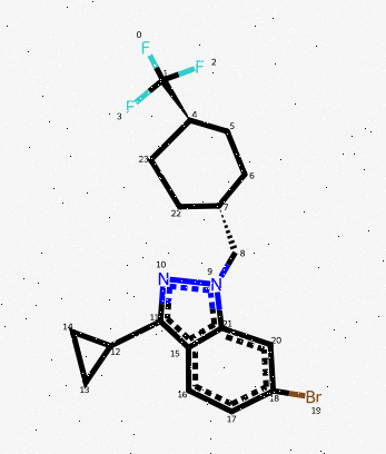 FC(F)(F)[C@H]1CC[C@H](Cn2nc(C3CC3)c3ccc(Br)cc32)CC1